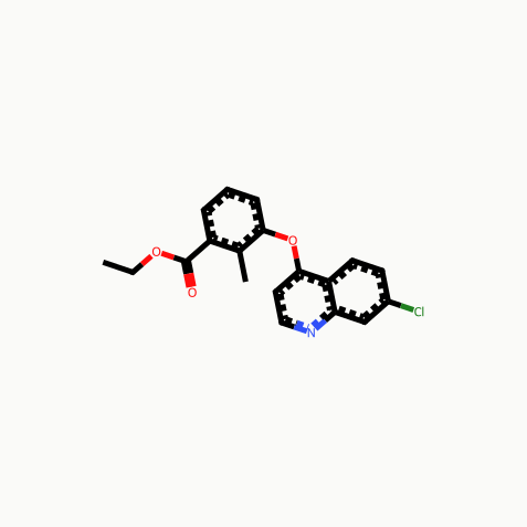 CCOC(=O)c1cccc(Oc2ccnc3cc(Cl)ccc23)c1C